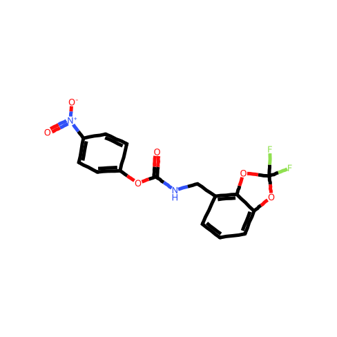 O=C(NCc1cccc2c1OC(F)(F)O2)Oc1ccc([N+](=O)[O-])cc1